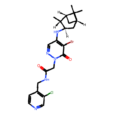 C[C@@H]1[C@H]2C[C@@H](C[C@H]1Nc1cnn(CC(=O)NCc3ccncc3Cl)c(=O)c1Br)C2(C)C